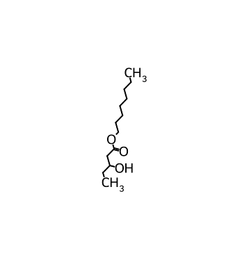 CCCCCCCCOC(=O)CC(O)CC